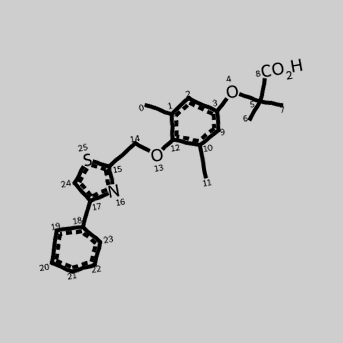 Cc1cc(OC(C)(C)C(=O)O)cc(C)c1OCc1nc(-c2ccccc2)cs1